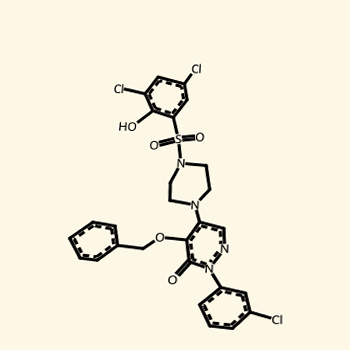 O=c1c(OCc2ccccc2)c(N2CCN(S(=O)(=O)c3cc(Cl)cc(Cl)c3O)CC2)cnn1-c1cccc(Cl)c1